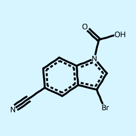 N#Cc1ccc2c(c1)c(Br)cn2C(=O)O